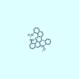 COC(=O)c1ccccc1-c1c2ccc3cccc(N)c3c2oc2c1ccc1cccc(=N)c12